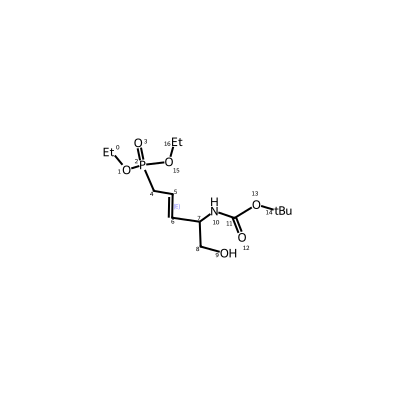 CCOP(=O)(C/C=C/C(CO)NC(=O)OC(C)(C)C)OCC